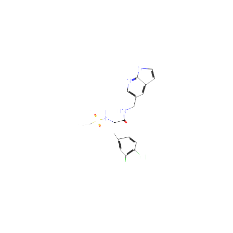 CCCS(=O)(=O)N[C@@H](Cc1ccc(Cl)c(Cl)c1)C(=O)NCc1cnc2[nH]ccc2c1